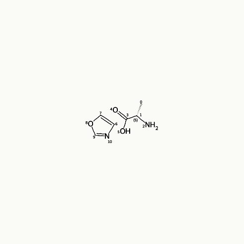 C[C@H](N)C(=O)O.c1cocn1